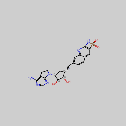 Nc1ncnc2c1CCN2[C@@H]1C[C@H](/C=C/c2ccc3cc4c(nc3c2)NS4(=O)=O)[C@@H](O)[C@H]1O